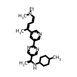 C=C(NC1CCC(C)CC1)c1cnc(-c2cncc(/C(C)=C\C=C/N(C)CC)c2)nc1